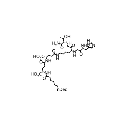 CCCCCCCCCCCCCCCC(=O)N[C@@H](CCC(=O)N[C@@H](CCC(=O)NCCCC[C@H](NCC(=O)[C@@H](N)Cc1cnc[nH]1)C(=O)CN[C@H](C(N)=O)[C@@H](C)O)C(=O)O)C(=O)O